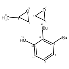 C1CO1.CC1CO1.CCC(C)c1cccc(O)c1C(C)CC